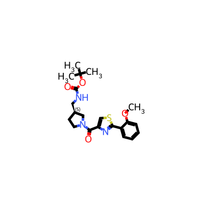 COc1ccccc1-c1nc(C(=O)N2CC[C@@H](CNC(=O)OC(C)(C)C)C2)cs1